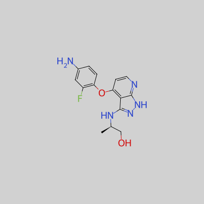 C[C@H](CO)Nc1n[nH]c2nccc(Oc3ccc(N)cc3F)c12